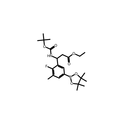 CCOC(=O)CC(NC(=O)OC(C)(C)C)c1cc(B2OC(C)(C)C(C)(C)O2)cc(C)c1F